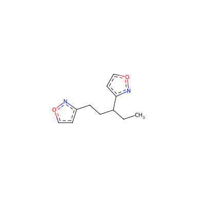 CC[C](CCc1ccon1)c1ccon1